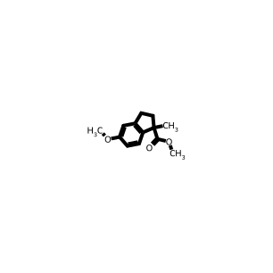 COC(=O)C1(C)CCc2cc(OC)ccc21